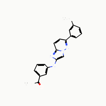 COC(=O)c1cccc(Nc2cn3nc(-c4cccc(OC)c4)ccc3n2)c1